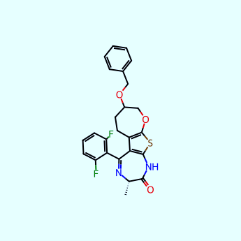 C[C@@H]1N=C(c2c(F)cccc2F)c2c(sc3c2CCC(OCc2ccccc2)CO3)NC1=O